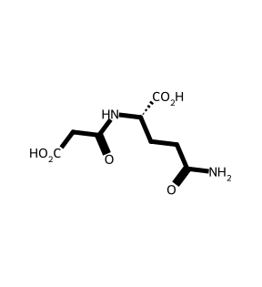 NC(=O)CC[C@H](NC(=O)CC(=O)O)C(=O)O